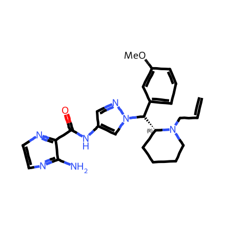 C=CCN1CCCC[C@@H]1C(c1cccc(OC)c1)n1cc(NC(=O)c2nccnc2N)cn1